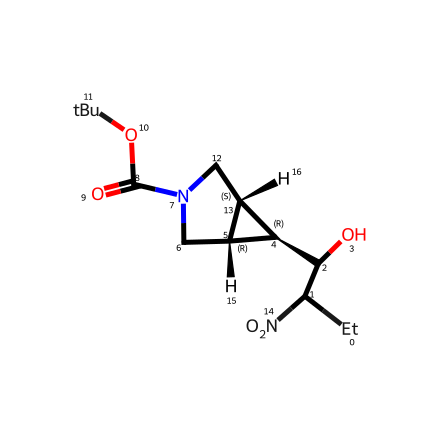 CCC(C(O)[C@H]1[C@@H]2CN(C(=O)OC(C)(C)C)C[C@@H]21)[N+](=O)[O-]